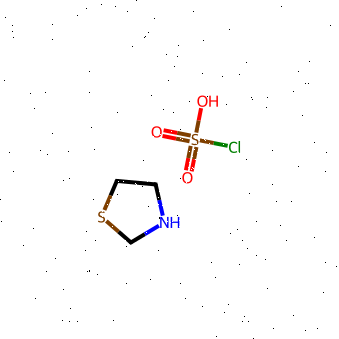 C1CSCN1.O=S(=O)(O)Cl